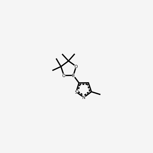 Cc1cc(B2OC(C)(C)C(C)(C)O2)sn1